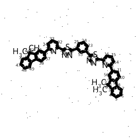 CC1(C)c2ccccc2-c2ccc(-c3cccc(-c4nnc(-c5cccc(-c6nnc(-c7cccc(-c8ccc9c(c8)C(C)(C)c8ccccc8-9)n7)s6)c5)s4)n3)cc21